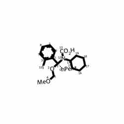 CCCCC[C@](OCOC)(c1ccccc1I)N(C(=O)O)C1CCCCC1